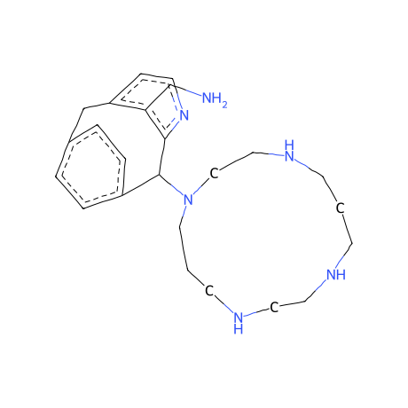 NCc1c2ccnc1C(N1CCCNCCNCCCNCC1)c1ccc(cc1)C2